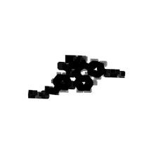 CO/N=C/c1ccc(N2C(=O)c3[nH]nc(-c4ccc(OC)cc4)c3C2c2ccccc2OC)cc1